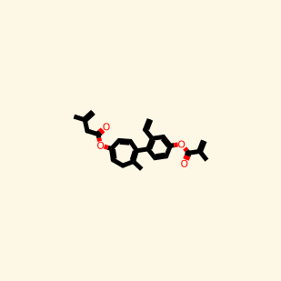 C=Cc1cc(OC(=O)C(=C)C)ccc1C1=C(C)CC=C(OC(=O)CC(=C)C)C=C1